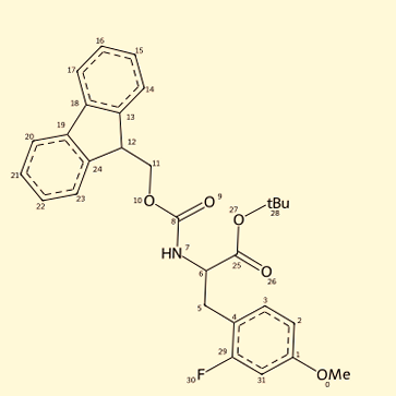 COc1ccc(CC(NC(=O)OCC2c3ccccc3-c3ccccc32)C(=O)OC(C)(C)C)c(F)c1